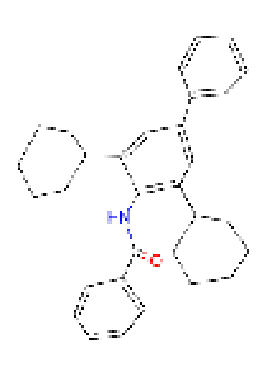 O=C(Nc1c(C2CCCCC2)cc(-c2ccccc2)cc1C1CCCCC1)c1ccccc1